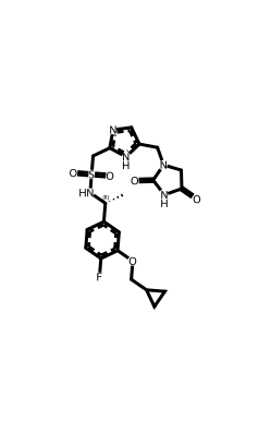 C[C@@H](NS(=O)(=O)Cc1ncc(CN2CC(=O)NC2=O)[nH]1)c1ccc(F)c(OCC2CC2)c1